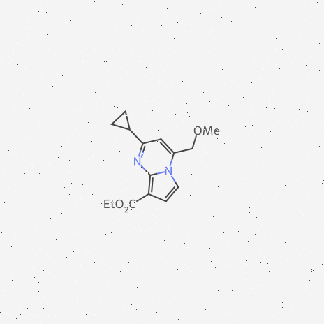 CCOC(=O)c1ccn2c(COC)cc(C3CC3)nc12